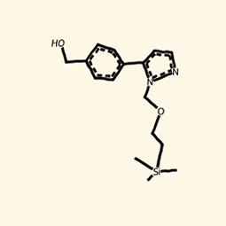 C[Si](C)(C)CCOCn1nccc1-c1ccc(CO)cc1